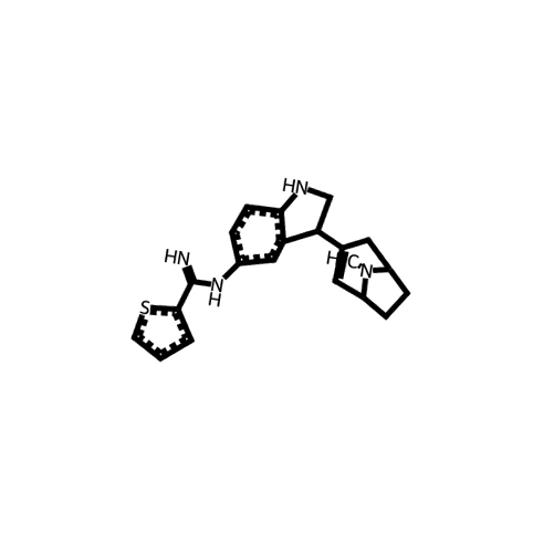 CN1C2C=C(C3CNc4ccc(NC(=N)c5cccs5)cc43)CC1CC2